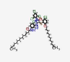 CCCCCCCCCCCCCC(=O)Nc1ccc(Cl)c(NC2=NN(c3c(Cl)cc(Cl)cc3Cl)C(=O)C2Sc2cc(Cl)ccc2OCCCCCCCCCCCC)c1